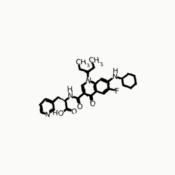 CCC(CC)n1cc(C(=O)N[C@H](Cc2cccnc2)C(=O)O)c(=O)c2cc(F)c(NC3CCCCC3)cc21